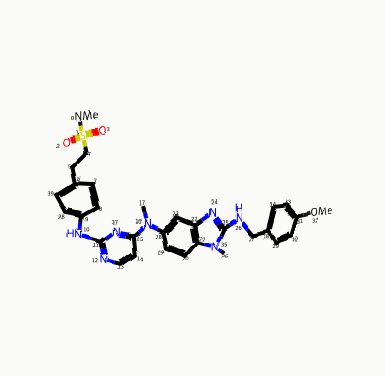 CNS(=O)(=O)CCc1ccc(Nc2nccc(N(C)c3ccc4c(c3)nc(NCc3ccc(OC)cc3)n4C)n2)cc1